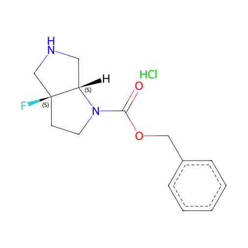 Cl.O=C(OCc1ccccc1)N1CC[C@]2(F)CNC[C@H]12